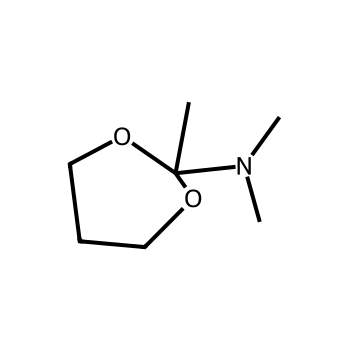 CN(C)C1(C)OCCCO1